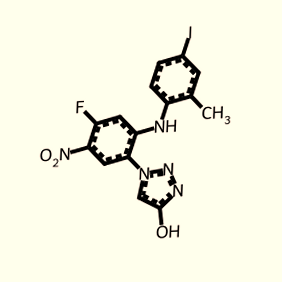 Cc1cc(I)ccc1Nc1cc(F)c([N+](=O)[O-])cc1-n1cc(O)nn1